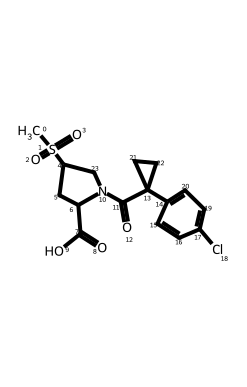 CS(=O)(=O)C1CC(C(=O)O)N(C(=O)C2(c3ccc(Cl)cc3)CC2)C1